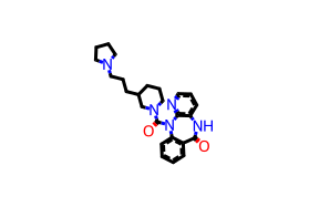 O=C1Nc2cccnc2N(C(=O)N2CCCC(CCCN3CCCC3)C2)c2ccccc21